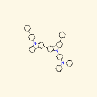 c1ccc(-c2ccc(-n3c4ccccc4c4cc(-c5ccc6c(c5)c5cc(-c7ccccc7)ccc5n6-c5ccc(N(c6ccccc6)c6ccccc6)cc5)ccc43)cc2)cc1